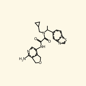 CC(c1ccc2scnc2c1)N(CC1CC1)C(=O)C(=O)Nc1cnc(N)c2c1COC2